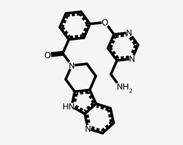 NCc1cc(Oc2cccc(C(=O)N3CCc4c([nH]c5ncccc45)C3)c2)ncn1